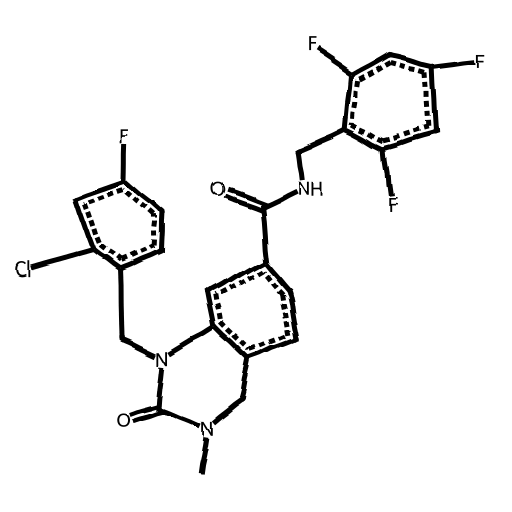 CN1Cc2ccc(C(=O)NCc3c(F)cc(F)cc3F)cc2N(Cc2ccc(F)cc2Cl)C1=O